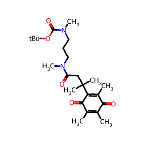 CC1=C(C)C(=O)C(C(C)(C)CC(=O)N(C)CCCN(C)C(=O)OC(C)(C)C)=C(C)C1=O